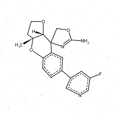 C[C@@]12CCO[C@@H]1C1(COC(N)=N1)c1cc(-c3cncc(F)c3)ccc1O2